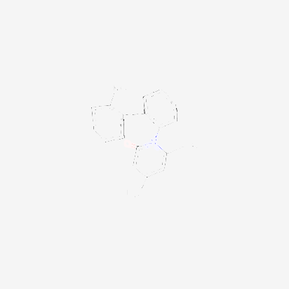 CCCCc1cc(C)cc(=O)n1-c1ccccc1-c1ccccc1[N+](=O)[O-]